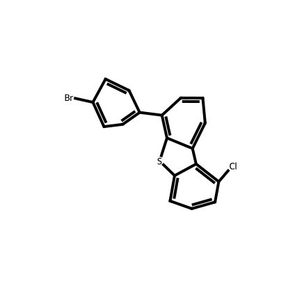 Clc1cccc2sc3c(-c4ccc(Br)cc4)cccc3c12